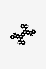 CC1(C)c2ccccc2-c2cc3c(-c4cncc5ccccc45)cc4cc5c(cc(-c6cncc7ccccc67)c6cc7c(cc65)C(C)(C)c5ccccc5-7)cc4c3cc21